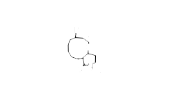 BC1CCCCCC2C(=S)N(C(C)C)CCC2CCC1